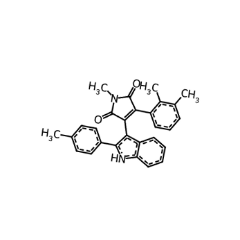 Cc1ccc(-c2[nH]c3ccccc3c2C2=C(c3cccc(C)c3C)C(=O)N(C)C2=O)cc1